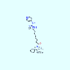 COCC1(CN(C)C(=O)CCCCCCCNC(=NC#N)Nc2ccncc2)CCCC1